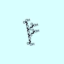 O=C(O)CCOCC(COCC(COCCC(=O)O)OCCC(=O)O)OCCC(=O)O